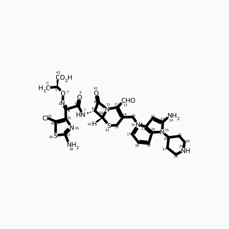 C[C@H](O/N=C(\C(=O)N[C@@H]1C(=O)N2C(C=O)=C(C[n+]3cccc4c3cc(N)n4C3CCNCC3)CS[C@H]12)c1nc(N)sc1Cl)C(=O)O